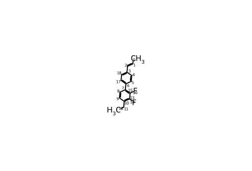 CC=Cc1ccc(-c2ccc(CC)c(F)c2F)cc1